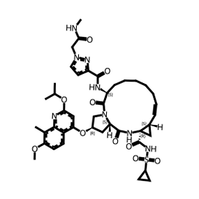 CNC(=O)Cn1ccc(C(=O)N[C@H]2CCCCCC=C[C@@H]3C[C@@]3(C(=O)NS(=O)(=O)C3CC3)NC(=O)[C@@H]3C[C@@H](Oc4cc(OC(C)C)nc5c(C)c(OC)ccc45)CN3C2=O)n1